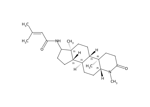 CC(C)=CC(=O)NC1CC[C@H]2[C@@H]3CC[C@H]4N(C)C(=O)CC[C@]4(C)[C@H]3CC[C@]12C